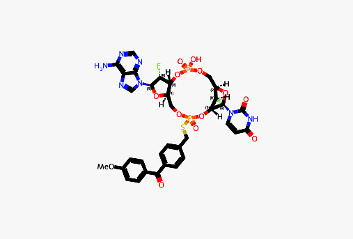 COc1ccc(C(=O)c2ccc(CSP3(=O)OC[C@H]4O[C@@H](n5cnc6c(N)ncnc65)[C@H](F)[C@@H]4OP(=O)(O)OC[C@H]4O[C@@H](n5ccc(=O)[nH]c5=O)[C@H](O3)[C@@H]4F)cc2)cc1